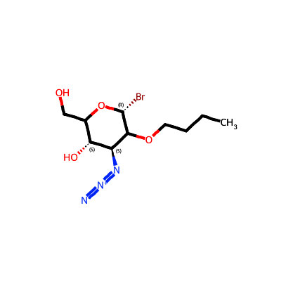 CCCCOC1[C@@H](N=[N+]=[N-])[C@H](O)C(CO)O[C@@H]1Br